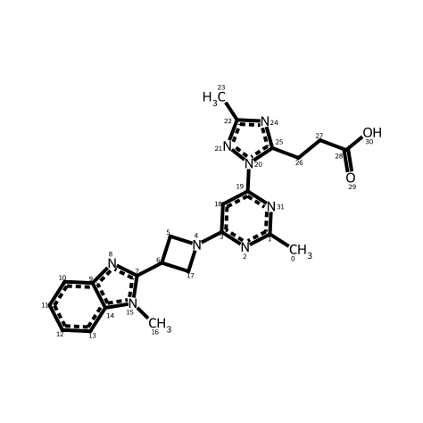 Cc1nc(N2CC(c3nc4ccccc4n3C)C2)cc(-n2nc(C)nc2CCC(=O)O)n1